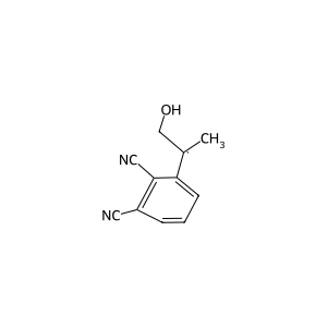 C[C](CO)c1cccc(C#N)c1C#N